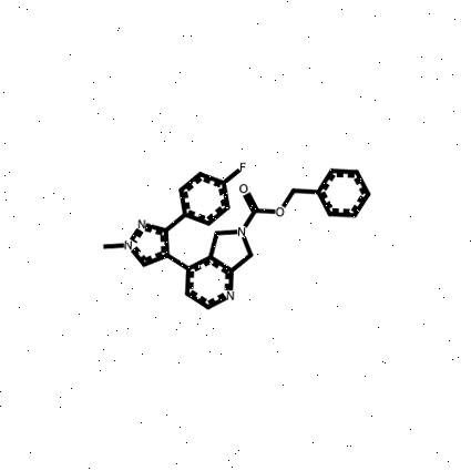 Cn1cc(-c2ccnc3c2CN(C(=O)OCc2ccccc2)C3)c(-c2ccc(F)cc2)n1